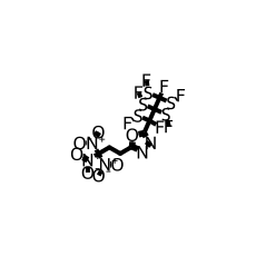 O=[N+]([O-])C(CCc1nnc(C(F)(SF)C(SF)(SF)C(F)(SF)SF)o1)([N+](=O)[O-])[N+](=O)[O-]